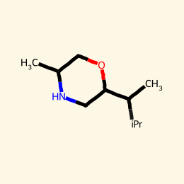 CC1COC(C(C)C(C)C)CN1